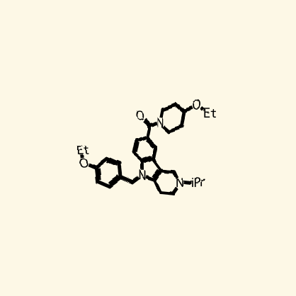 CCOc1ccc(Cn2c3c(c4cc(C(=O)N5CCC(OCC)CC5)ccc42)CN(C(C)C)CC3)cc1